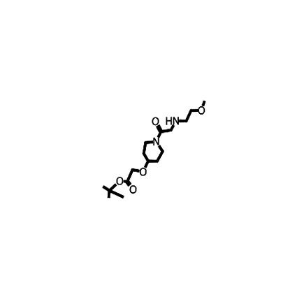 COCCNCC(=O)N1CCC(OCC(=O)OC(C)(C)C)CC1